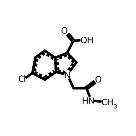 CNC(=O)Cn1cc(C(=O)O)c2ccc(Cl)cc21